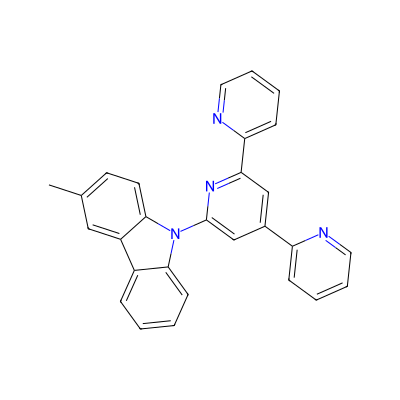 Cc1ccc2c(c1)c1ccccc1n2-c1cc(-c2ccccn2)cc(-c2ccccn2)n1